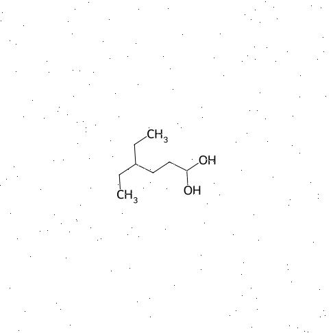 CCC(CC)CCC(O)O